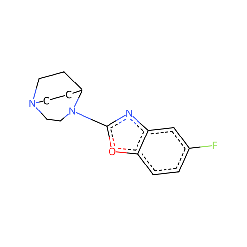 Fc1ccc2oc(N3CCN4CCC3CC4)nc2c1